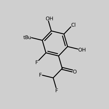 CC(C)(C)c1c(O)c(Cl)c(O)c(C(=O)C(F)F)c1F